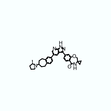 C[C@@H]1CCCN1C1CCc2ccc(-c3cnc4[nH]nc(-c5ccc6c(c5)OCC5(CC5)NC6=O)c4c3)cc2CC1